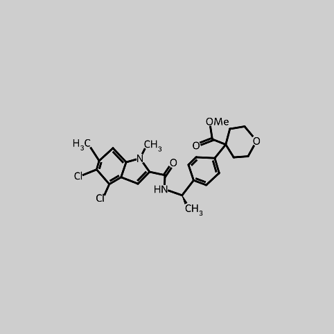 COC(=O)C1(c2ccc([C@@H](C)NC(=O)c3cc4c(Cl)c(Cl)c(C)cc4n3C)cc2)CCOCC1